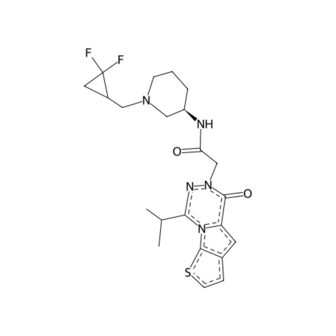 CC(C)c1nn(CC(=O)N[C@@H]2CCCN(CC3CC3(F)F)C2)c(=O)c2cc3ccsc3n12